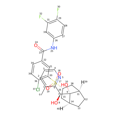 Cc1cccnc1[C@H](O)[C@@]1(O)[C@@H]2CC[C@H]1C[C@H](S(=O)(=O)c1cc(C(=O)Nc3ccc(F)c(F)c3)ccc1Cl)C2